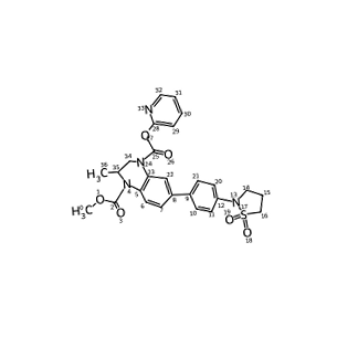 COC(=O)N1c2ccc(-c3ccc(N4CCCS4(=O)=O)cc3)cc2N(C(=O)Oc2ccccn2)CC1C